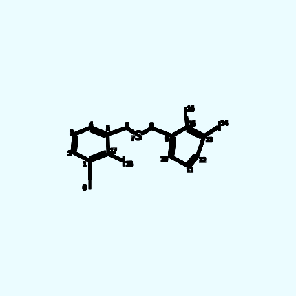 Ic1cccc(CSCc2cccc(I)c2I)c1I